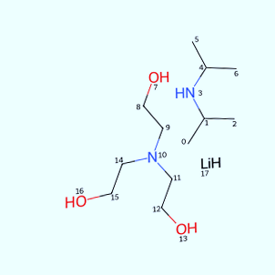 CC(C)NC(C)C.OCCN(CCO)CCO.[LiH]